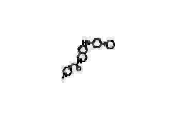 CN1CCN(CC(=O)N2CCc3cc(Nc4ccc(N5CCCCC5)cc4)ccc3C2)CC1